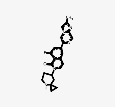 Cc1cn2cc(-c3cc(F)c4c(=O)n(C5CCNC6(CC6)C5)ccc4c3)ncc2n1